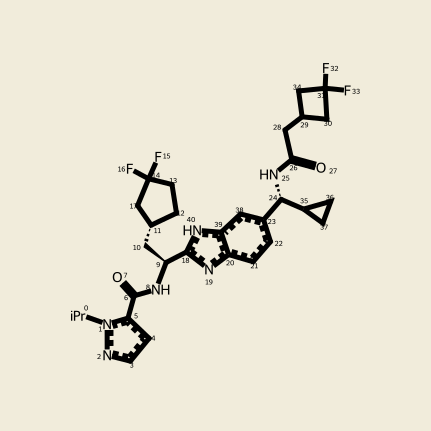 CC(C)n1nccc1C(=O)N[C@@H](C[C@H]1CCC(F)(F)C1)c1nc2ccc([C@H](NC(=O)CC3CC(F)(F)C3)C3CC3)cc2[nH]1